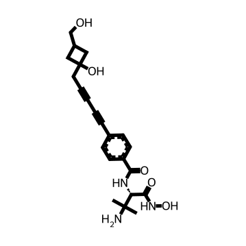 CC(C)(N)[C@H](NC(=O)c1ccc(C#CC#CCC2(O)CC(CO)C2)cc1)C(=O)NO